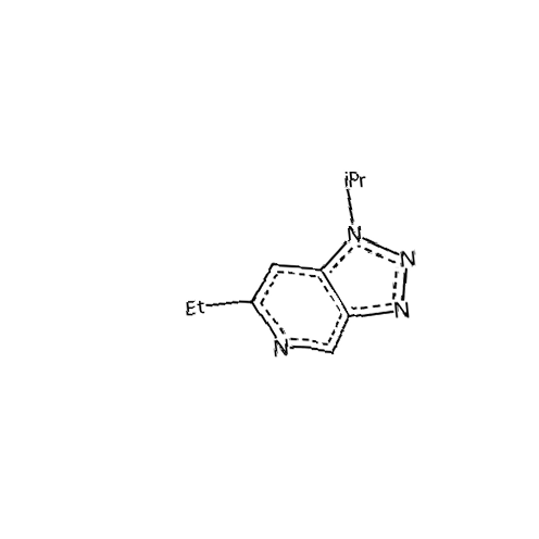 CCc1cc2c(cn1)nnn2C(C)C